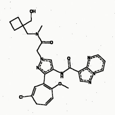 COC1=C(c2nn(CC(=O)N(C)CC3(CO)CCC3)cc2NC(=O)c2cnn3cccnc23)C=C(Cl)CC=C1